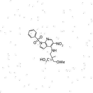 COC[C@](C)(CNc1c([N+](=O)[O-])cnc2c1ccn2S(=O)(=O)c1ccccc1)C(=O)O